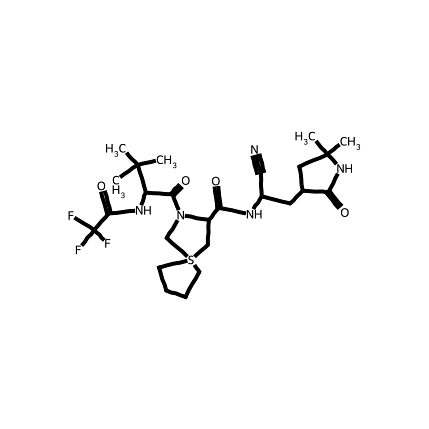 CC1(C)CC(CC(C#N)NC(=O)C2CS3(CCCC3)CN2C(=O)C(NC(=O)C(F)(F)F)C(C)(C)C)C(=O)N1